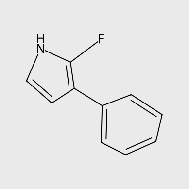 Fc1[nH]ccc1-c1ccccc1